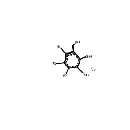 Sc1c(S)c(S)c(S)c(S)c1S.[Cu]